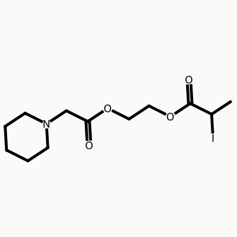 CC(I)C(=O)OCCOC(=O)CN1CCCCC1